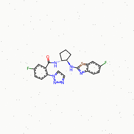 O=C(N[C@@H]1CCC[C@H]1Nc1nc2ccc(F)cc2s1)c1cc(F)ccc1-n1ccnn1